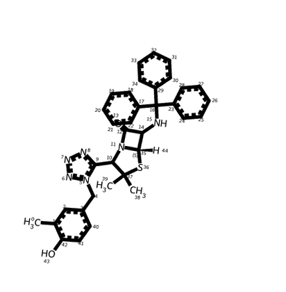 Cc1cc(Cn2nnnc2C2N3C(=O)C(NC(c4ccccc4)(c4ccccc4)c4ccccc4)[C@@H]3SC2(C)C)ccc1O